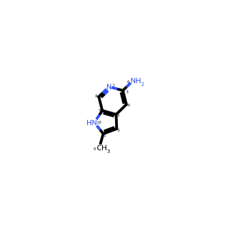 Cc1cc2cc(N)ncc2[nH]1